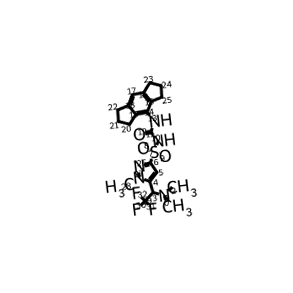 CN(C)C(c1cc(S(=O)(=O)NC(=O)Nc2c3c(cc4c2CCC4)CCC3)nn1C)C(F)(F)F